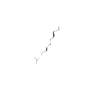 CCC=CCCC=CCCC(C)C